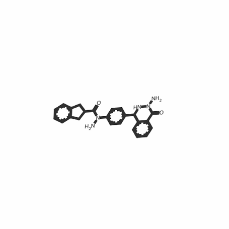 NN1NC(c2ccc(N(N)C(=O)C3Cc4ccccc4C3)cc2)c2ccccc2C1=O